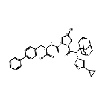 NC(=O)[C@@H](Cc1ccc(-c2ccccc2)cc1)NC(=O)[C@@H]1C[C@@H](O)CN1C(=O)[C@@H](n1cc(C2CC2)nn1)C12CC3CC(CC(C3)C1)C2